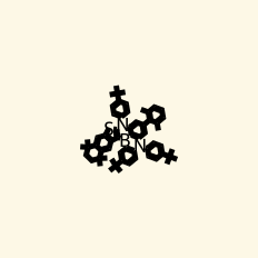 Cc1cccc(C)c1-c1cc2c3c(c1)N(c1ccc(C(C)(C)C)cc1)c1sc4cc5c(cc4c1B3c1cc(C(C)(C)C)ccc1N2c1ccc(C(C)(C)C)cc1)C(C)(C)CCC5(C)C